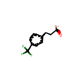 O=C(S)CCc1ccc(C(F)(F)F)cc1